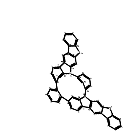 c1ccc2c(c1)sc1cc3c(cc12)c1ccc2cc1n3c1cccc(c1)n1c3cc(ccc3c3cc4c(cc31)sc1ccccc14)c1ccccc21